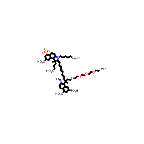 CC[N+]1=C(/C=C/C=C/C=C/C=C2/N(CCCCCC(=O)O)c3ccc4c(S(=O)(=O)[O-])cc(S(=O)(=O)O)cc4c3C2(C)CCCS(=O)(=O)O)C(C)(CCOCCOCCOCCOCCOC)c2c1ccc1c(S(=O)(=O)O)cc(S(=O)(=O)O)cc21